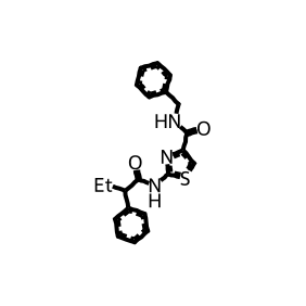 CCC(C(=O)Nc1nc(C(=O)NCc2ccccc2)cs1)c1ccccc1